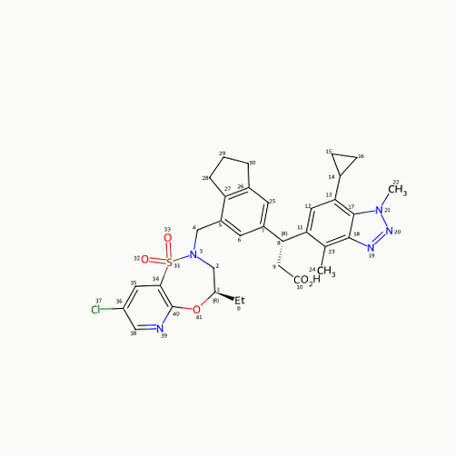 CC[C@@H]1CN(Cc2cc([C@@H](CC(=O)O)c3cc(C4CC4)c4c(nnn4C)c3C)cc3c2CCC3)S(=O)(=O)c2cc(Cl)cnc2O1